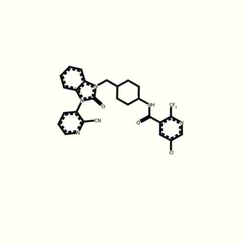 N#Cc1ncccc1-n1c(=O)n(CC2CCC(NC(=O)c3cc(Cl)cnc3C(F)(F)F)CC2)c2ccccc21